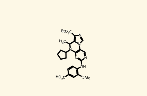 CCOC(=O)c1ncn2c1C(C)N(C1CCCC1)c1nc(Nc3ccc(C(=O)O)cc3OC)ncc1-2